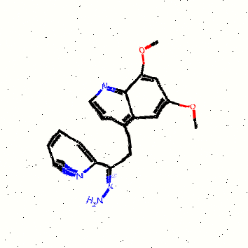 COc1cc(OC)c2nccc(C/C(=N/N)c3ccccn3)c2c1